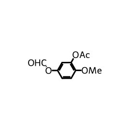 COc1ccc(OC=O)cc1OC(C)=O